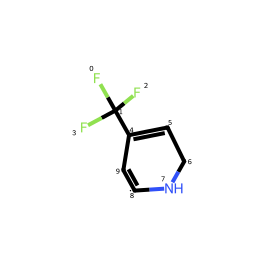 FC(F)(F)C1=CCN[C]=C1